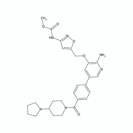 COC(=O)Nc1cc(COc2cc(-c3ccc(C(=O)N4CCC(N5CCCC5)CC4)cc3)cnc2N)on1